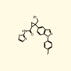 CC(C)CC1(c2ccc3c(cnn3-c3ccc(F)cc3)c2)CC1C(=O)Nc1nccs1